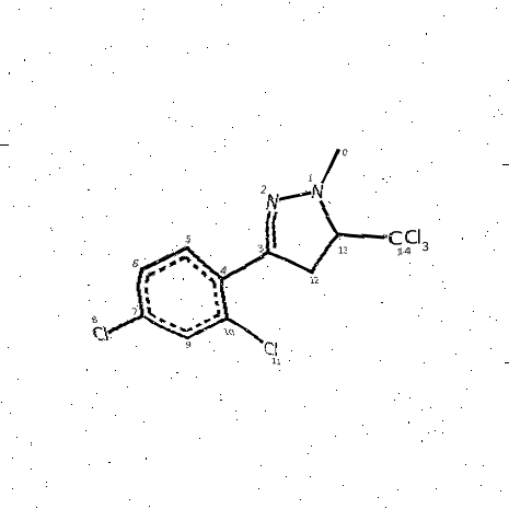 CN1N=C(c2ccc(Cl)cc2Cl)CC1C(Cl)(Cl)Cl